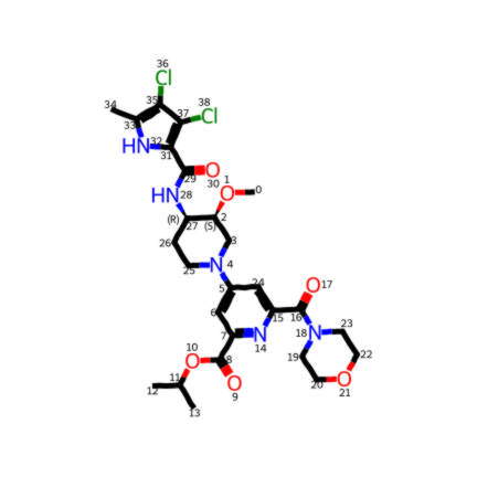 CO[C@H]1CN(c2cc(C(=O)OC(C)C)nc(C(=O)N3CCOCC3)c2)CC[C@H]1NC(=O)c1[nH]c(C)c(Cl)c1Cl